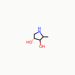 CC1NC[C@@H](O)C1O